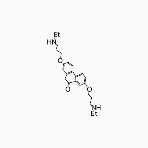 CCNCCCOc1ccc2c(c1)CC(=O)c1cc(OCCCNCC)ccc1-2